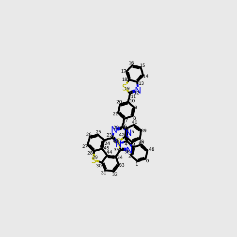 c1ccc(-c2nc(-c3ccc(-c4nc5ccccc5s4)cc3)nc(-c3cccc4sc5cccc(-c6nc7ccccc7s6)c5c34)n2)cc1